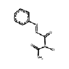 CCN(C(N)=O)C(=O)N=Nc1ccccc1